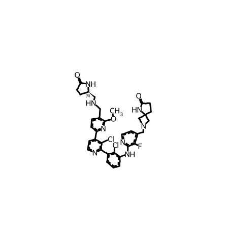 COc1nc(-c2ccnc(-c3cccc(Nc4nccc(CN5CC6(CCC(=O)N6)C5)c4F)c3Cl)c2Cl)ccc1CNC[C@H]1CCC(=O)N1